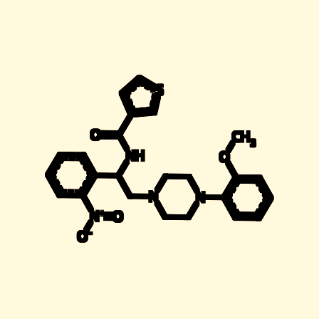 COc1ccccc1N1CCN(CC(NC(=O)c2ccsc2)c2ccccc2[N+](=O)[O-])CC1